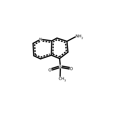 CS(=O)(=O)c1cc(N)cc2ncccc12